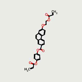 C=CC(=O)OCCOc1ccc2c(ccc3cc(C(=O)Oc4ccc(OC(=O)C=C)cc4)ccc32)c1